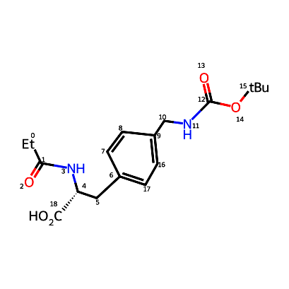 CCC(=O)N[C@H](Cc1ccc(CNC(=O)OC(C)(C)C)cc1)C(=O)O